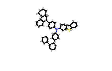 c1ccc(-c2ccccc2-c2ccc(N(c3ccc(-c4cc5ccccc5c5ccccc45)cc3)c3ccc4c(c3)sc3ccccc34)cc2)cc1